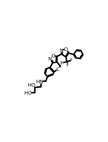 OC[C@@H](O)CNCc1ccc2c(c1)CCc1c-2noc1-c1noc(-c2ccccc2)c1C(F)(F)F